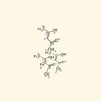 CC(=O)/C=C(/C)O.CC(=O)/C=C(/C)O.CC(=O)/C=C(/C)O.[Fe]